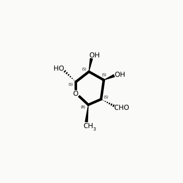 C[C@H]1O[C@H](O)[C@@H](O)[C@@H](O)[C@@H]1C=O